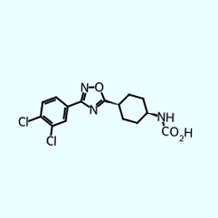 O=C(O)N[C@H]1CC[C@@H](c2nc(-c3ccc(Cl)c(Cl)c3)no2)CC1